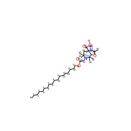 CCCCCCCCCCCCCCCCCCOC(=O)CN1C(C)(C)CC(NC(C)=O)(C(=O)OC)CC1(C)C